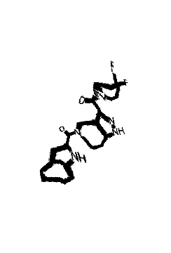 O=C(c1cc2ccccc2[nH]1)N1CCc2[nH]nc(C(=O)N3CC(F)(F)C3)c2C1